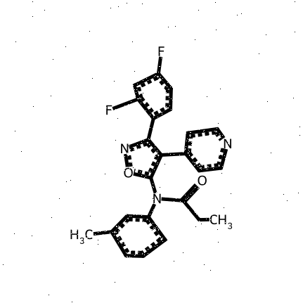 CCC(=O)N(c1cccc(C)c1)c1onc(-c2ccc(F)cc2F)c1-c1ccncc1